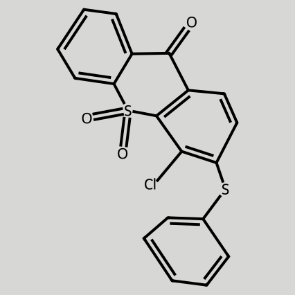 O=C1c2ccccc2S(=O)(=O)c2c1ccc(Sc1ccccc1)c2Cl